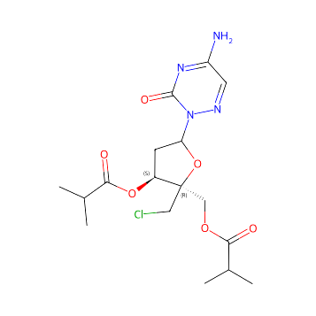 CC(C)C(=O)OC[C@@]1(CCl)OC(n2ncc(N)nc2=O)C[C@@H]1OC(=O)C(C)C